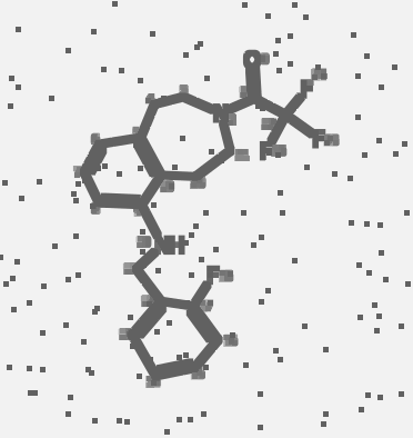 O=C(N1CCc2cccc(NCc3ccccc3F)c2CC1)C(F)(F)F